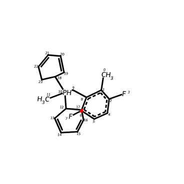 Cc1c(F)ccc(F)c1C[PH](C)(C1C=CC=CC1)C1C=CC=CC1